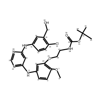 COc1ccc(Nc2cc(Nc3ccc(Cl)c(CO)c3)ncn2)cc1OCCNC(=O)OC(C)(C)C